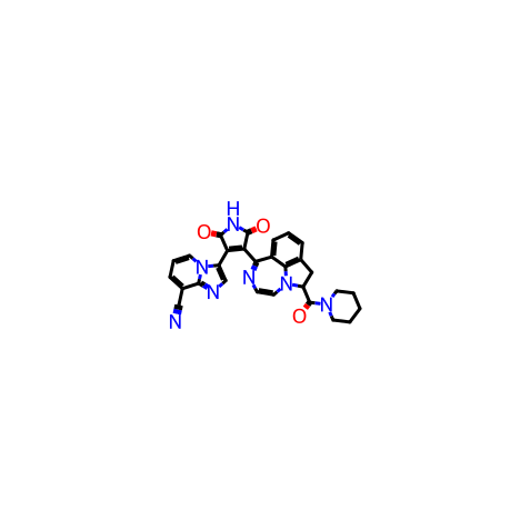 N#Cc1cccn2c(C3=C(C4=NC=CN5c6c(cccc64)CC5C(=O)N4CCCCC4)C(=O)NC3=O)cnc12